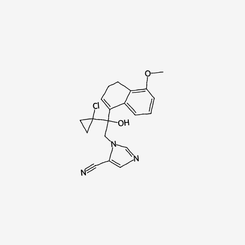 COc1cccc2c1CCC=C2C(O)(Cn1cncc1C#N)C1(Cl)CC1